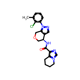 Cc1cccc(-n2ncc3c2COC[C@@H]3NC(=O)c2ncn3c2CCCC3)c1Cl